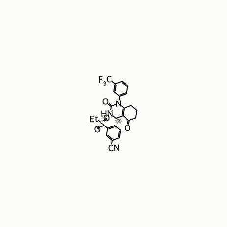 CCS(=O)(=O)c1cc(C#N)ccc1[C@@H]1NC(=O)N(c2cccc(C(F)(F)F)c2)C2=C1C(=O)CCC2